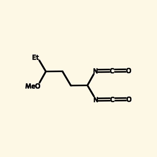 CCC(CCC(N=C=O)N=C=O)OC